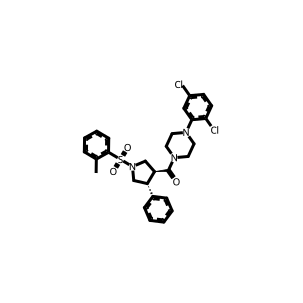 Cc1ccccc1S(=O)(=O)N1C[C@@H](C(=O)N2CCN(c3cc(Cl)ccc3Cl)CC2)[C@H](c2ccccc2)C1